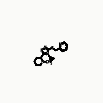 CN1CCCCC1c1nnc(SCc2ccccn2)n1C1CC1